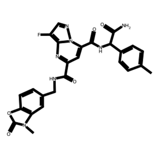 Cc1ccc(C(NC(=O)c2cc(C(=O)NCc3ccc4oc(=O)n(C)c4c3)nc3c(F)cnn23)C(N)=O)cc1